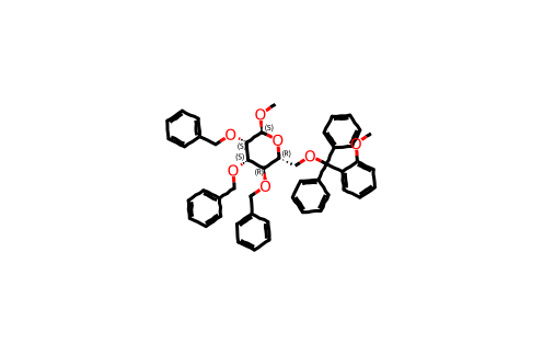 COc1ccccc1C(OC[C@H]1O[C@H](OC)[C@@H](OCc2ccccc2)[C@@H](OCc2ccccc2)[C@@H]1OCc1ccccc1)(c1ccccc1)c1ccccc1